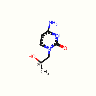 C[C@@H](O)Cn1ccc(N)nc1=O